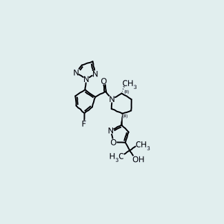 C[C@@H]1CC[C@@H](c2cc(C(C)(C)O)on2)CN1C(=O)c1cc(F)ccc1-n1nccn1